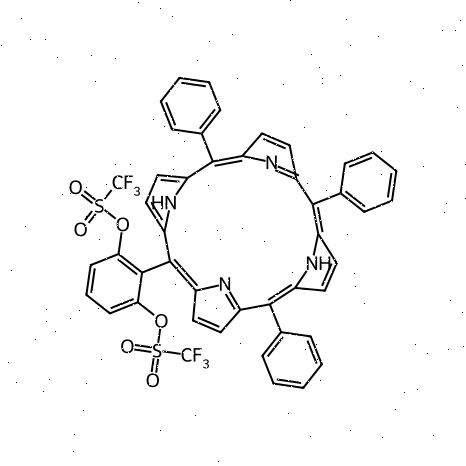 O=S(=O)(Oc1cccc(OS(=O)(=O)C(F)(F)F)c1-c1c2nc(c(-c3ccccc3)c3ccc([nH]3)c(-c3ccccc3)c3nc(c(-c4ccccc4)c4ccc1[nH]4)C=C3)C=C2)C(F)(F)F